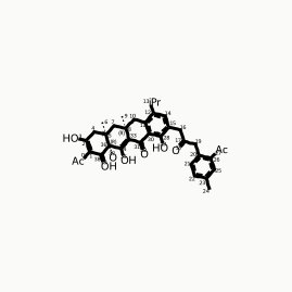 CC(=O)C1=C(O)C[C@@]2(C)C[C@@]3(C)Cc4c(C(C)C)cc(CC(=O)Cc5ccc(C)cc5C(C)=O)c(O)c4C(=O)C3=C(O)[C@@]2(O)C1=O